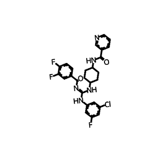 O=C(/N=C(/Nc1cc(F)cc(Cl)c1)NC1CCC(NC(=O)c2cccnc2)CC1)c1ccc(F)c(F)c1